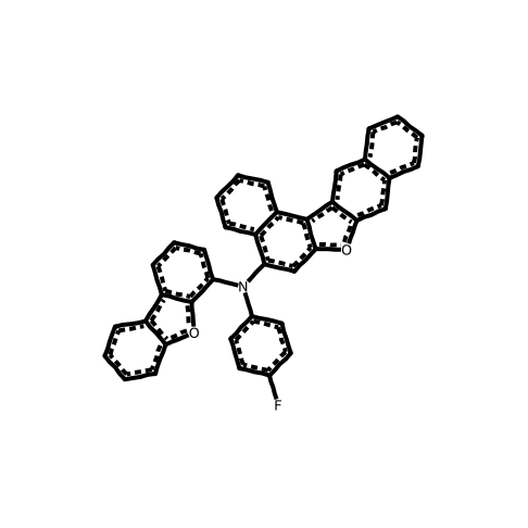 Fc1ccc(N(c2cc3oc4cc5ccccc5cc4c3c3ccccc23)c2cccc3c2oc2ccccc23)cc1